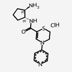 Cl.N[C@@H]1CCC[C@H]1NC(=O)C1=CN(c2ccncc2)CCS1